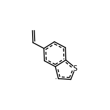 C=Cc1ccc2sc[c]c2c1